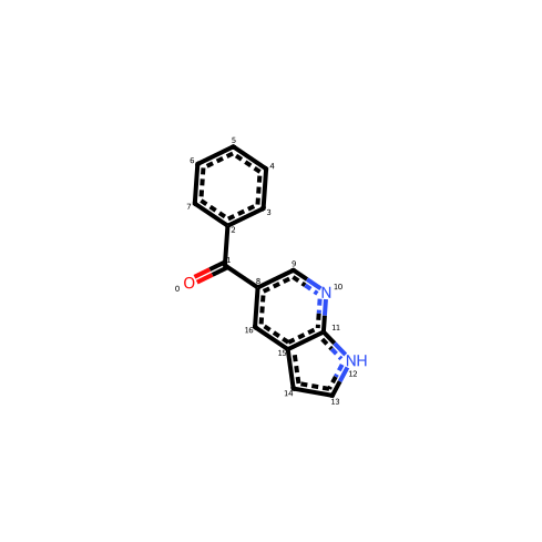 O=C(c1ccccc1)c1cnc2[nH]ccc2c1